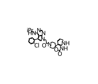 CC(C)Nc1ncnc2c1c(-c1ccccc1Cl)cn2CC(=O)N1CCC2(CC1)OC(=O)NC1=C2C=CCN1